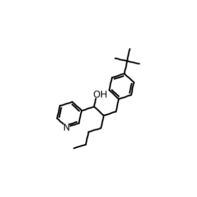 CCCCC(Cc1ccc(C(C)(C)C)cc1)C(O)c1cccnc1